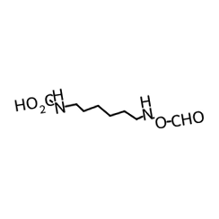 O=CONCCCCCCNC(=O)O